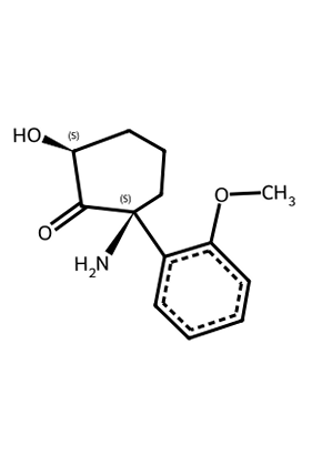 COc1ccccc1[C@@]1(N)CCC[C@H](O)C1=O